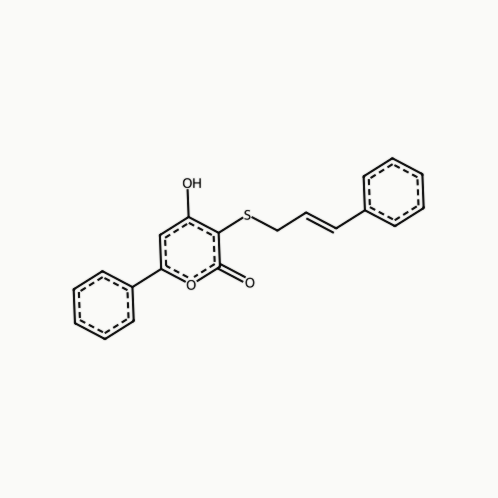 O=c1oc(-c2ccccc2)cc(O)c1SCC=Cc1ccccc1